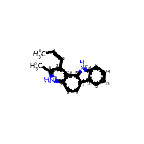 C/C=C\c1c(C)[nH]c2ccc3c4ccccc4[nH]c3c12